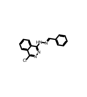 Clc1nnc(NN=Cc2ccccc2)c2ccccc12